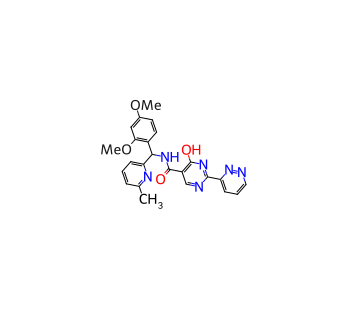 COc1ccc(C(NC(=O)c2cnc(-c3cccnn3)nc2O)c2cccc(C)n2)c(OC)c1